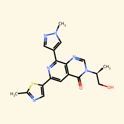 Cc1ncc(-c2cc3c(=O)n([C@@H](C)CO)cnc3c(-c3cnn(C)c3)n2)s1